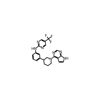 FC(F)(F)c1cnc(Nc2cccc(C3CCCN(c4ncnc5[nH]ccc45)C3)c2)nc1